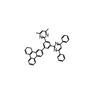 Cc1cc(C)nc(-c2cc(-c3ccc4c(c3)c3c(c5ccccc54)C=CCC3)cc(-c3nc(-c4ccccc4)cc(-c4ccccc4)n3)c2)n1